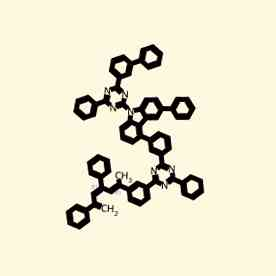 C=C(/C=C(\C=C(/C)c1cccc(-c2nc(C3=CC=CCC3)nc(-c3cccc(-c4cccc5c4c4cc(-c6ccccc6)ccc4n5-c4nc(-c5ccccc5)nc(-c5cccc(-c6ccccc6)c5)n4)c3)n2)c1)c1ccccc1)c1ccccc1